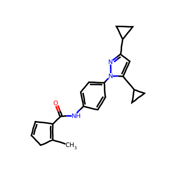 CC1=C(C(=O)Nc2ccc(-n3nc(C4CC4)cc3C3CC3)cc2)C=CC1